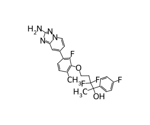 Cc1ccc(-c2ccn3nc(N)nc3c2)c(F)c1OCCC(F)(F)C(C)(O)c1ccc(F)cc1